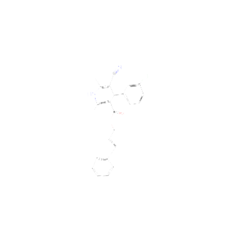 CC1=C(C#N)C(c2cccc(Cl)c2)C(C(=O)OC/C=C/c2ccccc2)=C(C)N1